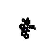 C/C(=C(\ON)c1c(Cl)cccc1-n1nnn(C)c1=O)c1cccc2c1CCC2